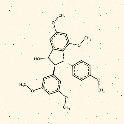 COc1ccc([C@H]2c3c(OC)cc(OC)cc3[C@@H](O)[C@@H]2c2cc(OC)cc(OC)c2)cc1